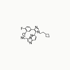 N#Cc1cnc2ccc(-c3c(-c4ccc(F)c(Cl)c4)ncn3CCC3CCC3)nn12